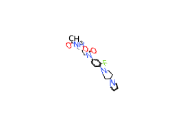 CC(=O)NC[C@H]1CN(c2ccc(N3CCC(n4cccc4)CC3)c(F)c2)C(=O)O1